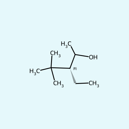 CC[C@@H](C(C)O)C(C)(C)C